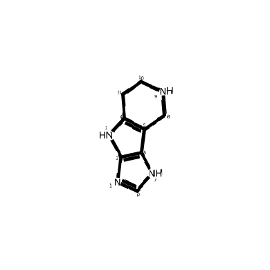 [c]1nc2[nH]c3c(c2[nH]1)CNCC3